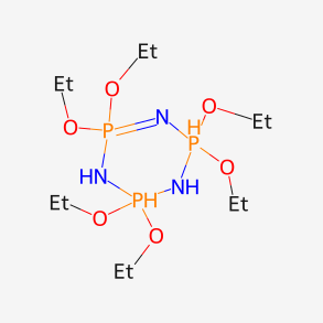 CCOP1(OCC)=N[PH](OCC)(OCC)N[PH](OCC)(OCC)N1